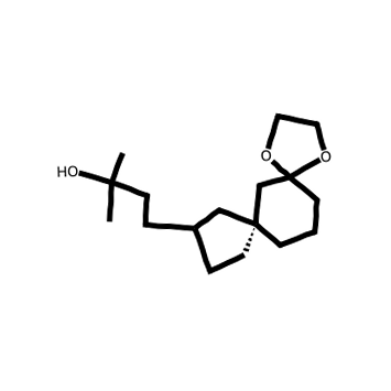 CC(C)(O)CCC1CC[C@]2(CCCC3(C2)OCCO3)C1